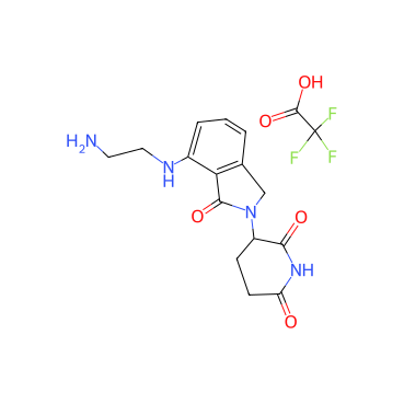 NCCNc1cccc2c1C(=O)N(C1CCC(=O)NC1=O)C2.O=C(O)C(F)(F)F